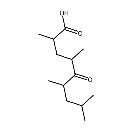 CC(C)CC(C)C(=O)C(C)CC(C)C(=O)O